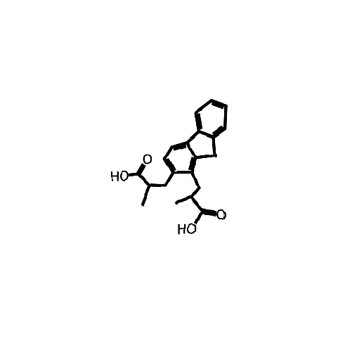 CC(Cc1ccc2c(c1CC(C)C(=O)O)Cc1ccccc1-2)C(=O)O